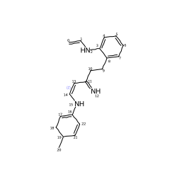 C=CNc1ccccc1CCC(=N)/C=C\NC1=CCC(C)C=C1